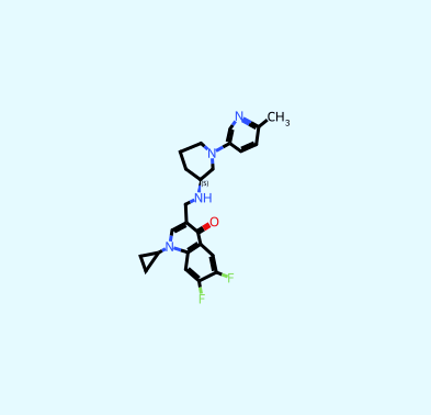 Cc1ccc(N2CCC[C@H](NCc3cn(C4CC4)c4cc(F)c(F)cc4c3=O)C2)cn1